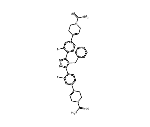 N=C(N)N1CC=C(c2ccc(-c3nnc(-c4ccc(C5=CCN(C(=N)N)CC5)cc4F)n3Cc3ccccc3)c(F)c2)CC1